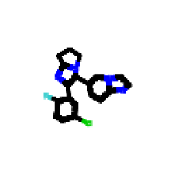 Fc1ccc(Cl)cc1-c1nc2n(c1-c1ccc3nccn3c1)CCC2